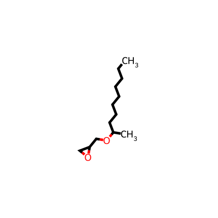 CCCCCCCCC(C)OCC1CO1